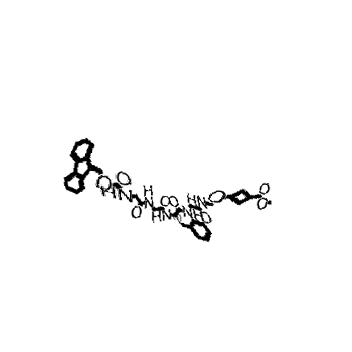 COC(=O)C1CC(OCNC(=O)CNC(=O)[C@H](Cc2ccccc2)NC(=O)CNC(=O)CNC(=O)OCC2c3ccccc3-c3ccccc32)C1